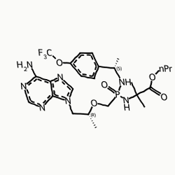 CCCOC(=O)C(C)(C)NP(=O)(CO[C@H](C)Cn1cnc2c(N)ncnc21)N[C@@H](C)c1ccc(OC(F)(F)F)cc1